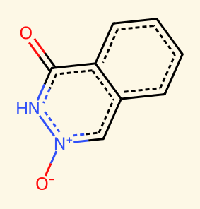 O=c1[nH][n+]([O-])cc2ccccc12